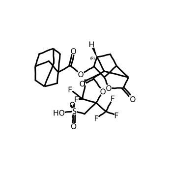 O=C1OC2C3C[C@@H](C2OC(=O)C24CC5CC(CC(C5)C2)C4)C(C(=O)OC(CS(=O)(=O)O)(C(F)(F)F)C(F)(F)F)C13